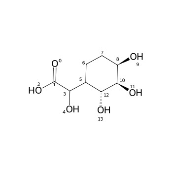 O=C(O)C(O)C1CC[C@@H](O)[C@@H](O)[C@@H]1O